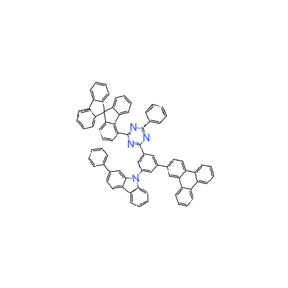 c1ccc(-c2ccc3c4ccccc4n(-c4cc(-c5ccc6c7ccccc7c7ccccc7c6c5)cc(-c5nc(-c6ccccc6)nc(-c6cccc7c6-c6ccccc6C76c7ccccc7-c7ccccc76)n5)c4)c3c2)cc1